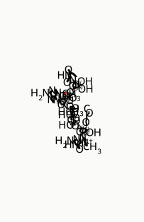 COCCOC[C@H]1[C@@H](O)[C@H](n2c[n+](C)c3c(=O)[nH]c(N)nc32)O[C@@H]1COP(=O)(O)OP(=O)(O)OP(=O)(O)OC[C@H]1O[C@@H](n2cnc3c(N)ncnc32)[C@H](OC)[C@@H]1OP(=O)(O)OC[C@H]1O[C@@H](n2ccc(=O)[nH]c2=O)[C@H](O)[C@@H]1O